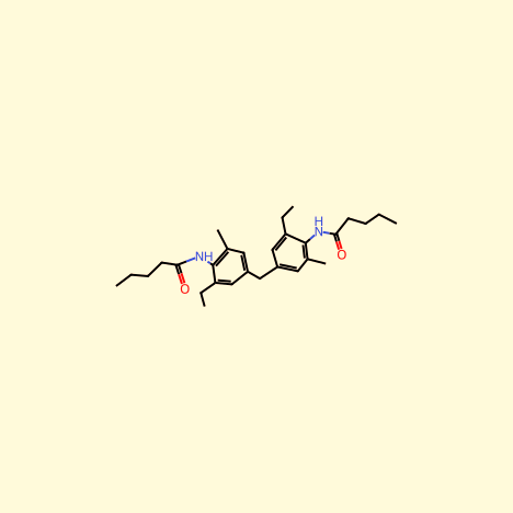 CCCCC(=O)Nc1c(C)cc(Cc2cc(C)c(NC(=O)CCCC)c(CC)c2)cc1CC